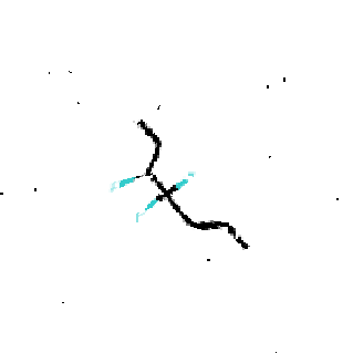 [CH2]C[C@H](F)C(F)(F)CCC